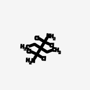 CCC(CC)(C(N)(Cl)Cl)C(N)(Cl)Cl